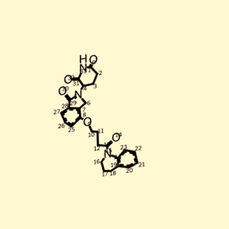 O=C1CCC(N2Cc3c(OCCCC(=O)N4CCCc5ccccc54)cccc3C2=O)C(=O)N1